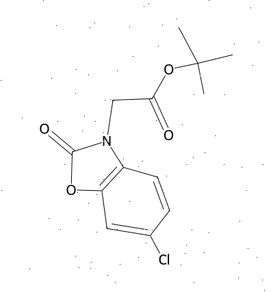 CC(C)(C)OC(=O)Cn1c(=O)oc2cc(Cl)ccc21